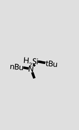 CCCCN(C)[SiH2]C(C)(C)C